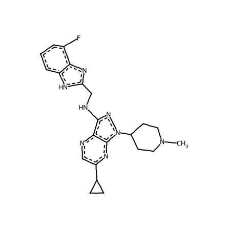 CN1CCC(n2nc(NCc3nc4c(F)cccc4[nH]3)c3ncc(C4CC4)nc32)CC1